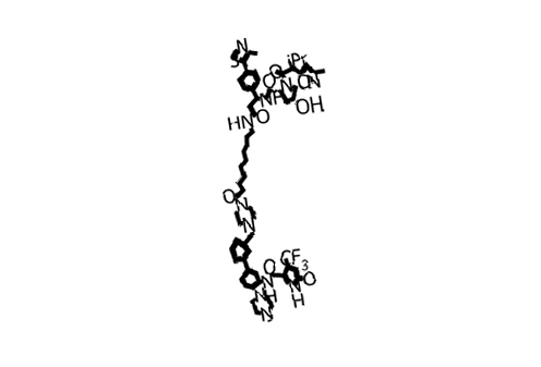 Cc1cc(C(C(=O)N2C[C@H](O)C[C@H]2C(=O)NC(CC(=O)NCCCCCCCCCC(=O)N2CCN(Cc3cccc(-c4ccc(N5CCN(C)CC5)c(NC(=O)c5c[nH]c(=O)cc5C(F)(F)F)c4)c3)CC2)c2ccc(-c3scnc3C)cc2)C(C)C)on1